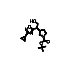 CC(C)(C)OC(=O)N1CCC(C(CO)c2nc(C3CC3)no2)C1